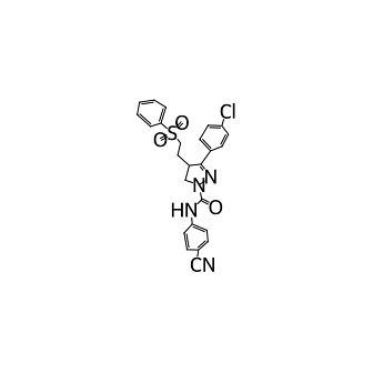 N#Cc1ccc(NC(=O)N2CC(CCS(=O)(=O)c3ccccc3)C(c3ccc(Cl)cc3)=N2)cc1